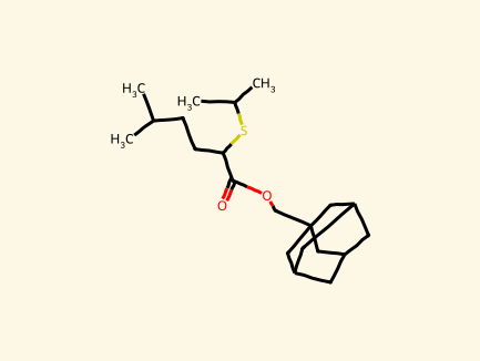 CC(C)CCC(SC(C)C)C(=O)OCC12CC3CC(CC(C3)C1)C2